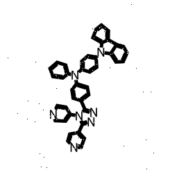 c1ccc(N(c2ccc(-c3nnc(-c4ccncc4)n3-c3ccncc3)cc2)c2ccc(-n3c4ccccc4c4ccccc43)cc2)cc1